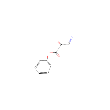 N=CC(=O)C(=O)Oc1ccccc1